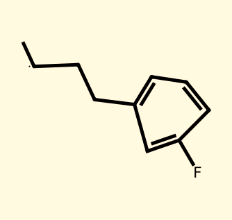 C[CH]CCc1cccc(F)c1